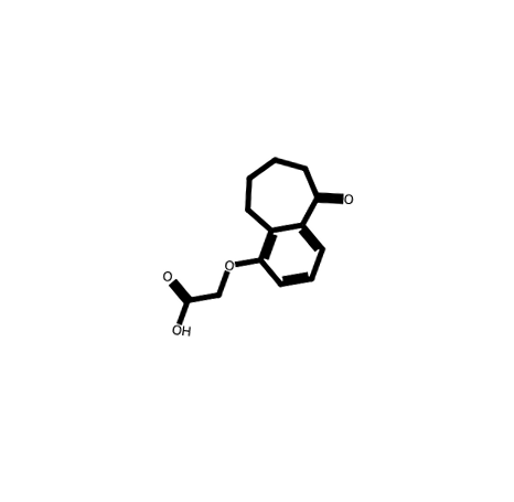 O=C(O)COc1cccc2c1CCCCC2=O